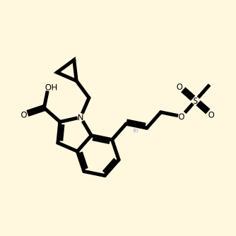 CS(=O)(=O)OC/C=C/c1cccc2cc(C(=O)O)n(CC3CC3)c12